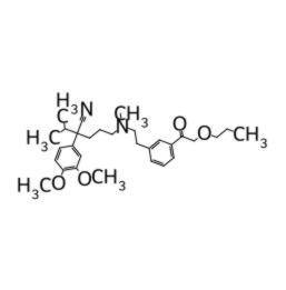 CCCOCC(=O)c1cccc(CCN(C)CCCC(C#N)(c2ccc(OC)c(OC)c2)C(C)C)c1